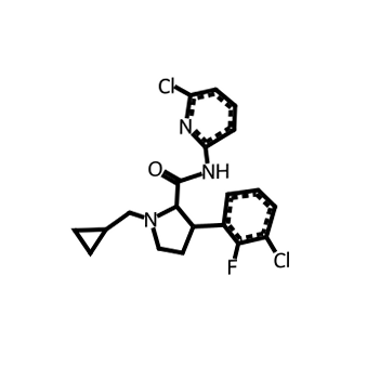 O=C(Nc1cccc(Cl)n1)C1C(c2cccc(Cl)c2F)CCN1CC1CC1